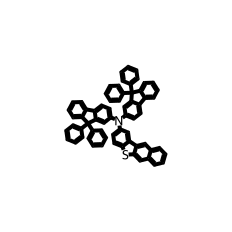 c1ccc(C2(c3ccccc3)c3ccccc3-c3ccc(N(c4ccc5c(c4)C(c4ccccc4)(c4ccccc4)c4ccccc4-5)c4ccc5sc6cc7ccccc7cc6c5c4)cc32)cc1